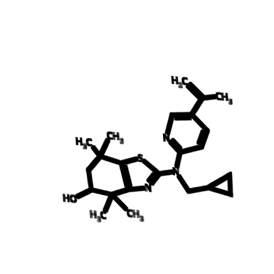 C=C(C)c1ccc(N(CC2CC2)c2nc3c(s2)C(C)(C)CC(O)C3(C)C)nc1